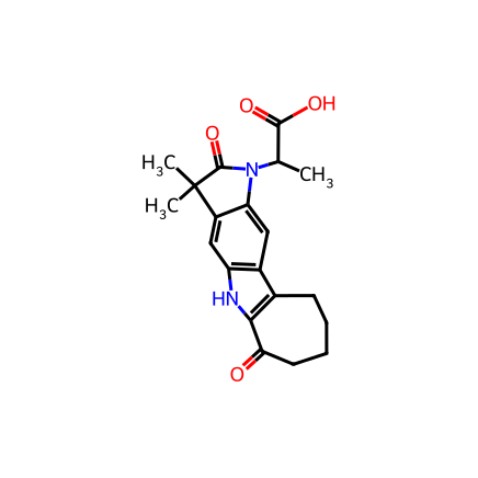 CC(C(=O)O)N1C(=O)C(C)(C)c2cc3[nH]c4c(c3cc21)CCCCC4=O